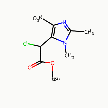 Cc1nc([N+](=O)[O-])c(C(Cl)C(=O)OC(C)(C)C)n1C